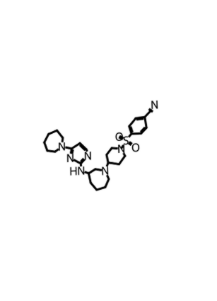 N#Cc1ccc(S(=O)(=O)N2CCC(N3CCCCC(Nc4nccc(N5CCCCCC5)n4)C3)CC2)cc1